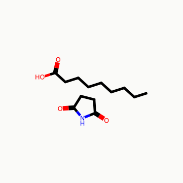 CCCCCCCCC(=O)O.O=C1CCC(=O)N1